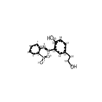 O=[N+]([O-])c1ccccc1/N=N/c1cc(CCO)ccc1O